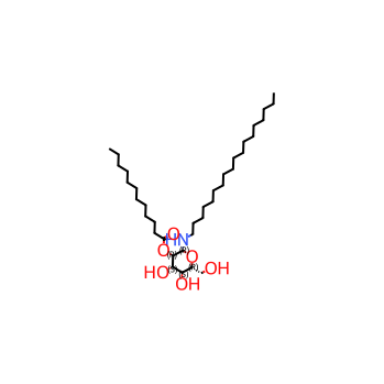 CCCCCCCCCCCCCCCCCCN[C@@H]1O[C@H](CO)[C@@H](O)[C@H](O)[C@H]1OC(=O)CCCCCCCCCCC